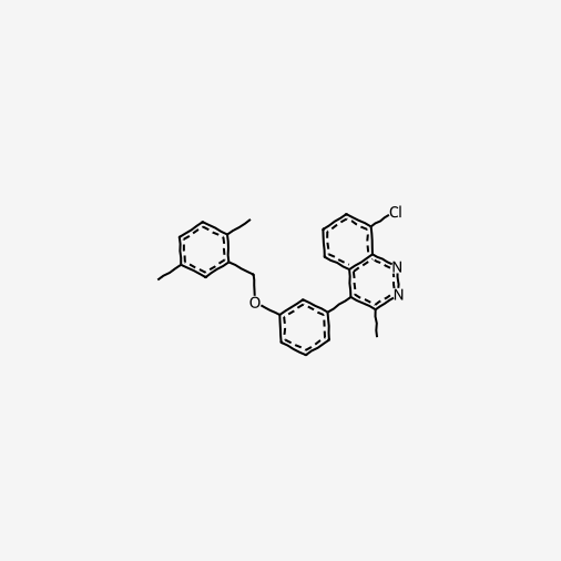 Cc1ccc(C)c(COc2cccc(-c3c(C)nnc4c(Cl)cccc34)c2)c1